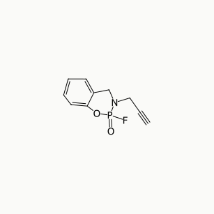 C#CCN1Cc2ccccc2OP1(=O)F